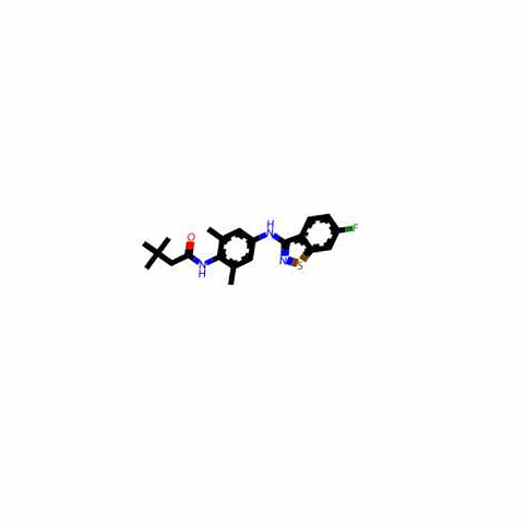 Cc1cc(Nc2nsc3cc(F)ccc23)cc(C)c1NC(=O)CC(C)(C)C